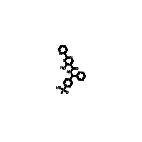 CP(=O)(O)c1ccc(C(NC(=O)c2cnc(-c3ccccn3)nc2O)c2ccccc2)cc1